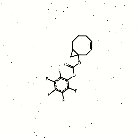 O=C(Oc1c(F)c(F)c(F)c(F)c1F)OC12CC=CCCCC1C2